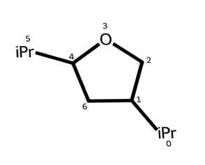 CC(C)C1COC(C(C)C)C1